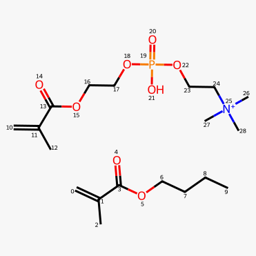 C=C(C)C(=O)OCCCC.C=C(C)C(=O)OCCOP(=O)(O)OCC[N+](C)(C)C